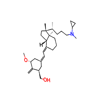 C=C1[C@H](CO)C/C(=C/C=C2\CCC[C@@]3(C)[C@H]2CC[C@]3(C)[C@H](C)CCCN(C)C2CC2)C[C@H]1OC